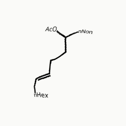 CCCCCCC=CCCC(CCCCCCCCC)OC(C)=O